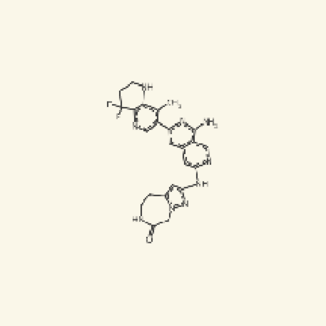 Cc1c(-c2cc3cc(Nc4cc5n(n4)CC(=O)NCC5)ncc3c(N)n2)cnc2c1NCCC2(F)F